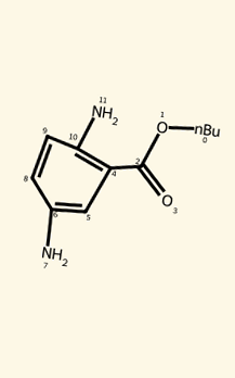 CCCCOC(=O)c1cc(N)ccc1N